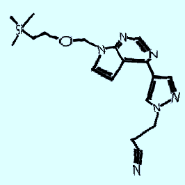 C[Si](C)(C)CCOCn1ccc2c(-c3cnn(CCC#N)c3)ncnc21